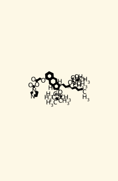 CCCCC[C@@H](CC[C@@H]1[C@H]2Cc3cccc(OCC(=O)OC(=O)n4ccnc4)c3C[C@H]2C[C@H]1O[Si](C)(C)C(C)(C)C)O[Si](C)(C)C(C)(C)C